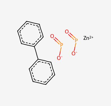 O=P[O-].O=P[O-].[Zn+2].c1ccc(-c2ccccc2)cc1